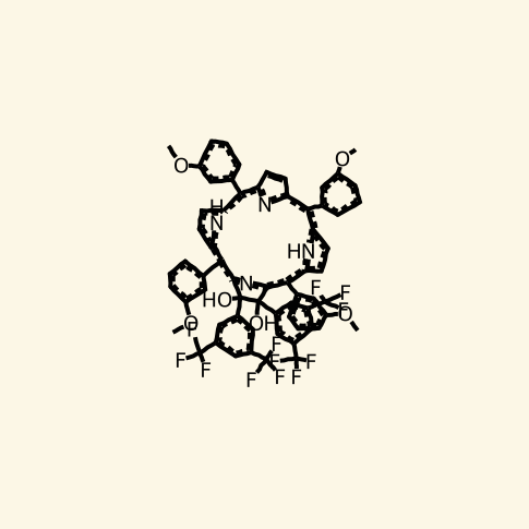 COc1cccc(-c2c3nc(c(-c4cccc(OC)c4)c4ccc([nH]4)c(-c4cccc(OC)c4)c4nc(c(-c5cccc(OC)c5)c5ccc2[nH]5)C(O)(c2cc(C(F)(F)F)cc(C(F)(F)F)c2)C4(O)c2cc(C(F)(F)F)cc(C(F)(F)F)c2)C=C3)c1